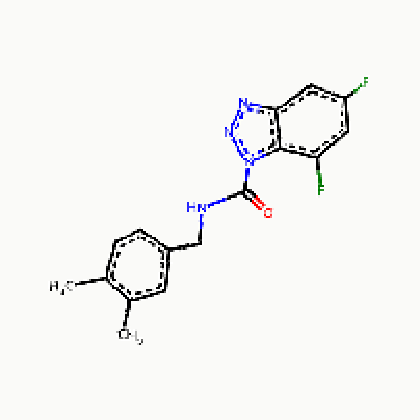 Cc1ccc(CNC(=O)n2nnc3cc(F)cc(F)c32)cc1C